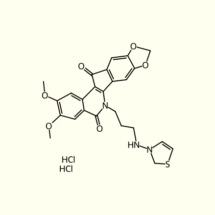 COc1cc2c3c(n(CCCNN4C=CSC4)c(=O)c2cc1OC)-c1cc2c(cc1C3=O)OCO2.Cl.Cl